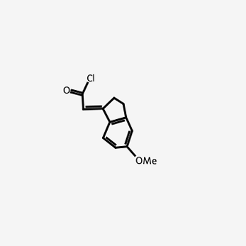 COc1ccc2c(c1)CCC2=CC(=O)Cl